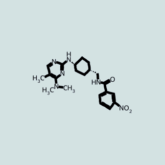 Cc1cnc(N[C@H]2CC[C@@H](CNC(=O)c3cccc([N+](=O)[O-])c3)CC2)nc1N(C)C